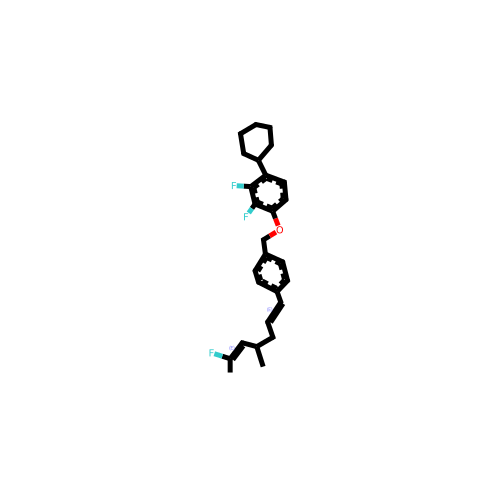 C/C(F)=C\C(C)C/C=C/c1ccc(COc2ccc(C3CCCCC3)c(F)c2F)cc1